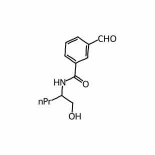 CCCC(CO)NC(=O)c1cccc(C=O)c1